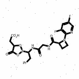 CC(C)CC(NC(=O)CNC(=O)C1CCN1c1ncc(F)cc1F)B1OC(=O)C(CC(=O)O)O1